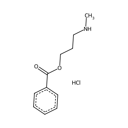 CNCCCOC(=O)c1ccccc1.Cl